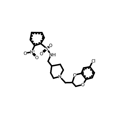 O=[N+]([O-])c1ccccc1S(=O)(=O)NCC1CCN(CC2COc3ccc(Cl)cc3O2)CC1